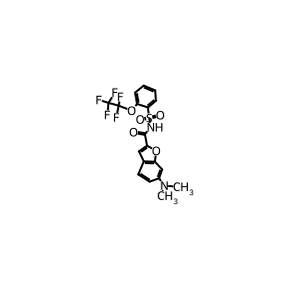 CN(C)c1ccc2cc(C(=O)NS(=O)(=O)c3ccccc3OC(F)(F)C(F)(F)F)oc2c1